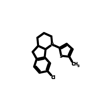 Cc1ccc(N2CCCC3Cc4ccc(Cl)cc4C32)s1